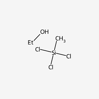 CCO.C[Si](Cl)(Cl)Cl